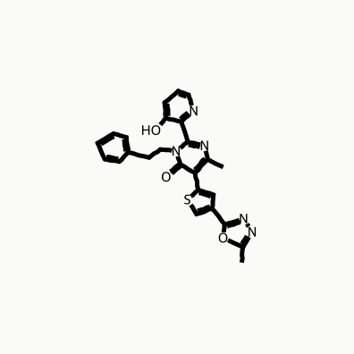 Cc1nnc(-c2csc(-c3c(C)nc(-c4ncccc4O)n(CCc4ccccc4)c3=O)c2)o1